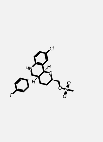 CS(=O)(=O)OC[C@H]1CC[C@@H]2[C@H](O1)c1cc(Cl)ccc1N[C@H]2C1C=CC(F)=CC1